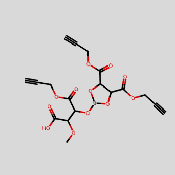 C#CCOC(=O)C(OB1OC(C(=O)OCC#C)C(C(=O)OCC#C)O1)C(OC)C(=O)O